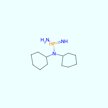 N=[PH](N)N(C1CCCCC1)C1CCCCC1